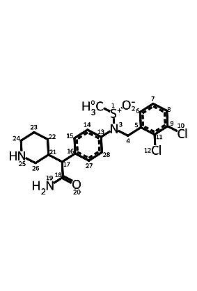 C[S+]([O-])N(Cc1cccc(Cl)c1Cl)c1ccc(C(C(N)=O)C2CCCNC2)cc1